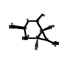 CCCCC1[C@H]2C(C)CC(=N)N[C@H]12